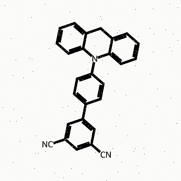 N#Cc1cc(C#N)cc(-c2ccc(N3c4ccccc4Cc4ccccc43)cc2)c1